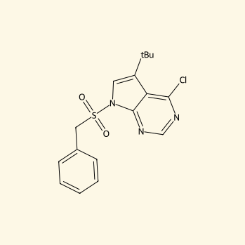 CC(C)(C)c1cn(S(=O)(=O)Cc2ccccc2)c2ncnc(Cl)c12